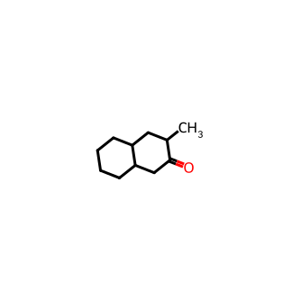 CC1CC2CCCCC2CC1=O